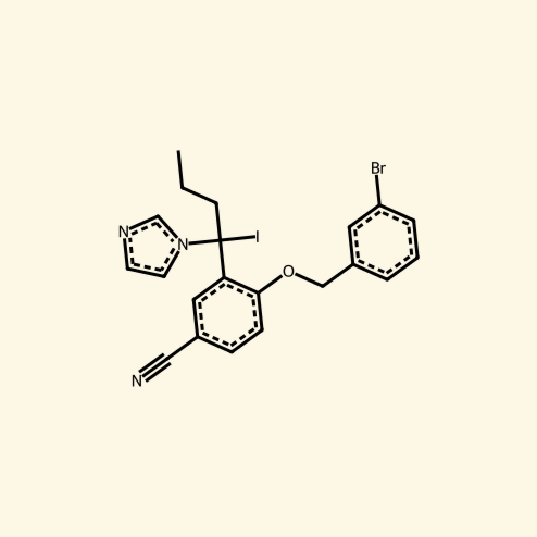 CCCC(I)(c1cc(C#N)ccc1OCc1cccc(Br)c1)n1ccnc1